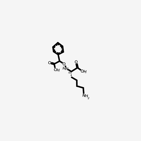 NCCCC[C@H](NOC(C(=O)O)c1ccccc1)C(=O)O